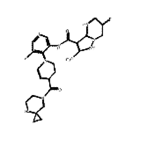 NC1NN2CC(F)CNC2C1C(=O)Nc1cncc(F)c1N1CCC(C(=O)N2CCNC3(CC3)C2)CC1